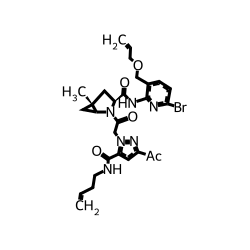 C=CCCNC(=O)c1cc(C(C)=O)nn1CC(=O)N1C2C[C@]2(C)C[C@H]1C(=O)Nc1nc(Br)ccc1COCC=C